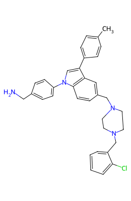 Cc1ccc(-c2cn(-c3ccc(CN)cc3)c3ccc(CN4CCN(Cc5ccccc5Cl)CC4)cc23)cc1